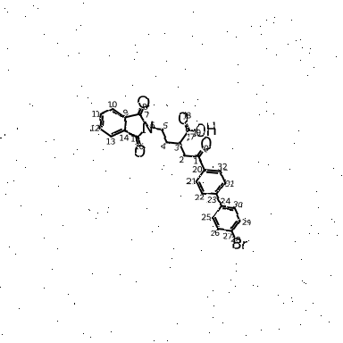 O=C(CC(CCN1C(=O)c2ccccc2C1=O)C(=O)O)c1ccc(-c2ccc(Br)cc2)cc1